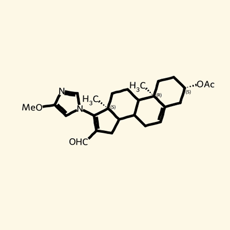 COc1cn(C2=C(C=O)CC3C4CC=C5C[C@@H](OC(C)=O)CC[C@]5(C)C4CC[C@]23C)cn1